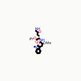 CO[C@@H](Cc1cn(C)c2ccccc12)C(=O)N[C@@H](CCC(=O)C=N)C(=O)OC(C)C